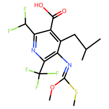 COC(=Nc1c(C(F)(F)F)nc(C(F)F)c(C(=O)O)c1CC(C)C)SC